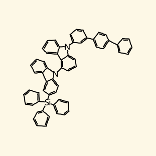 c1ccc(-c2ccc(-c3cccc(-n4c5ccccc5c5c(-n6c7ccccc7c7cc([Si](c8ccccc8)(c8ccccc8)c8ccccc8)ccc76)cccc54)c3)cc2)cc1